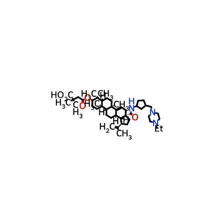 C=C(C)[C@@H]1CC[C@]2(C(=O)NC3CCC(CN4CCN(CC)CC4)C3)CC=C3[C@H](CC[C@@H]4[C@@]5(C)CCC(OC(=O)CC(C)(C)C(=O)O)C(C)(C)[C@@H]5CC[C@@]34C)[C@@H]12